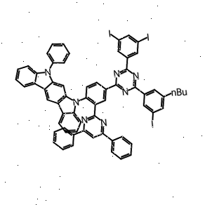 CCCCc1cc(I)cc(-c2nc(-c3cc(I)cc(I)c3)nc(-c3ccc(-n4c5ccccc5c5cc6c7ccccc7n(-c7ccccc7)c6cc54)c(-c4nc(-c5ccccc5)cc(-c5ccccc5)n4)c3)n2)c1